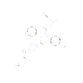 CC(C)(C)OC(=O)NC1CN(C(=O)C(c2cccnc2)N(C(=O)[C@H]2CCCN2C#N)c2ccc(C(C)(C)C)cc2)C1